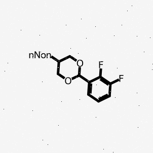 CCCCCCCCCC1COC(c2cccc(F)c2F)OC1